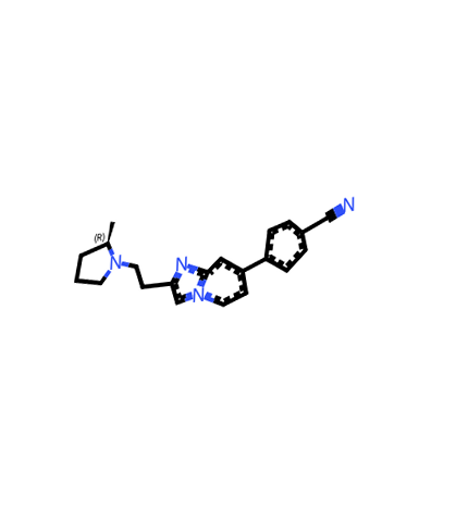 C[C@@H]1CCCN1CCc1cn2ccc(-c3ccc(C#N)cc3)cc2n1